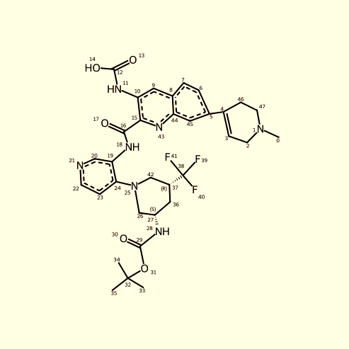 CN1CC=C(c2ccc3cc(NC(=O)O)c(C(=O)Nc4cnccc4N4C[C@@H](NC(=O)OC(C)(C)C)C[C@@H](C(F)(F)F)C4)nc3c2)CC1